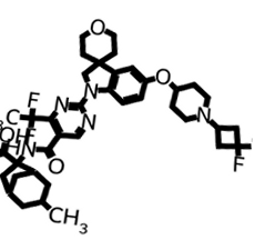 CC1CC2CC(C1)C(NC(=O)c1cnc(N3CC4(CCOCC4)c4cc(OC5CCN(C6CC(F)(F)C6)CC5)ccc43)nc1C(C)(F)F)(C(=O)O)C2